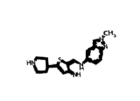 Cn1cc2cc(N/C=C3/SC(C4CCNCC4)=CC3=N)ccc2n1